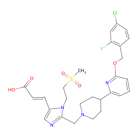 CS(=O)(=O)CCn1c(/C=C/C(=O)O)cnc1CN1CCC(c2cccc(OCc3ccc(Cl)cc3F)n2)CC1